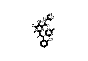 Cc1ncc([C@H](c2ccccc2C#N)[C@@H](C)c2nc(C(=O)Nc3cnoc3)c(O)c(=O)n2C)cn1